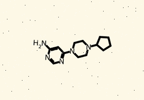 Nc1cc(N2CCN(C3CCCC3)CC2)ncn1